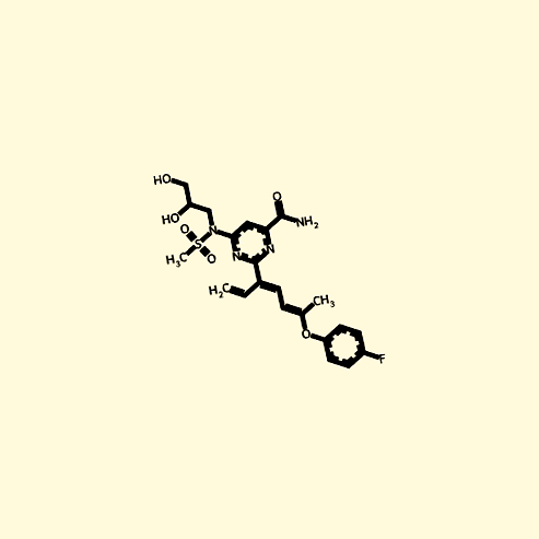 C=C/C(=C\C=C(/C)Oc1ccc(F)cc1)c1nc(C(N)=O)cc(N(CC(O)CO)S(C)(=O)=O)n1